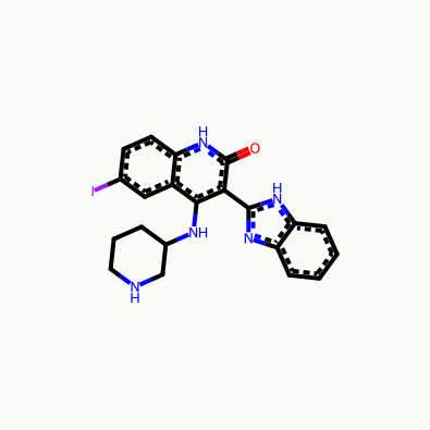 O=c1[nH]c2ccc(I)cc2c(NC2CCCNC2)c1-c1nc2ccccc2[nH]1